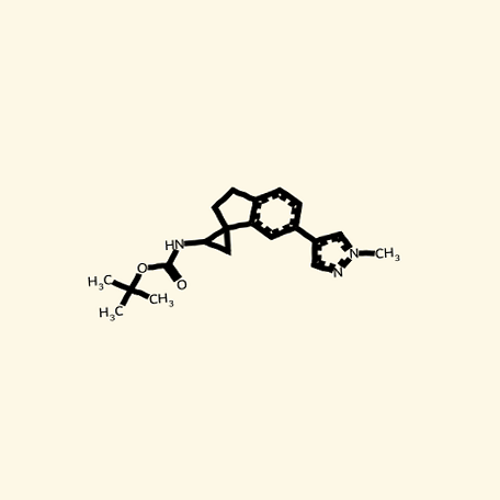 Cn1cc(-c2ccc3c(c2)C2(CC3)CC2NC(=O)OC(C)(C)C)cn1